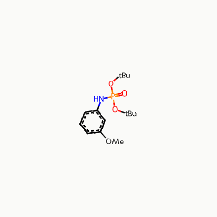 COc1cccc(NP(=O)(OC(C)(C)C)OC(C)(C)C)c1